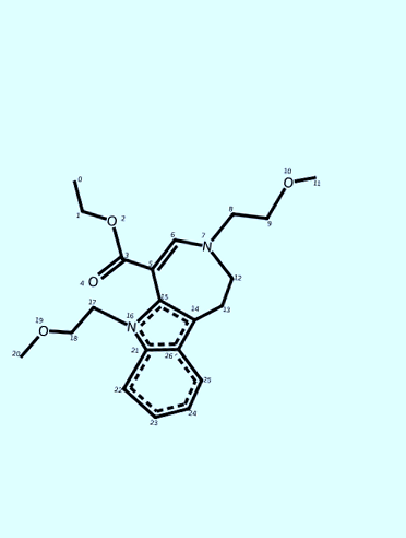 CCOC(=O)C1=CN(CCOC)CCc2c1n(CCOC)c1ccccc21